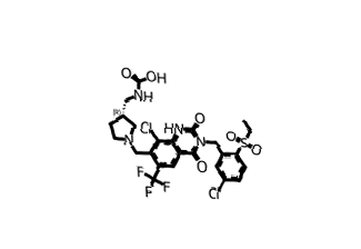 CCS(=O)(=O)c1ccc(Cl)cc1Cn1c(=O)[nH]c2c(Cl)c(CN3CC[C@H](CNC(=O)O)C3)c(C(F)(F)F)cc2c1=O